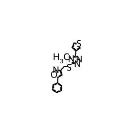 Cn1c(SCc2cc(-c3ccccc3)on2)nnc1-c1ccsc1